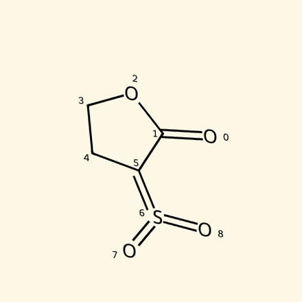 O=C1OCCC1=S(=O)=O